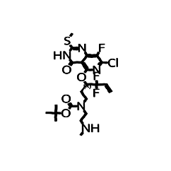 C=CC(F)(F)[C@@H](CCN(CCNC)C(=O)OC(C)(C)C)Oc1nc(Cl)c(F)c2nc(SC)[nH]c(=O)c12